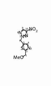 COCc1ncc(Cn2ncc([N+](=O)[O-])n2)s1